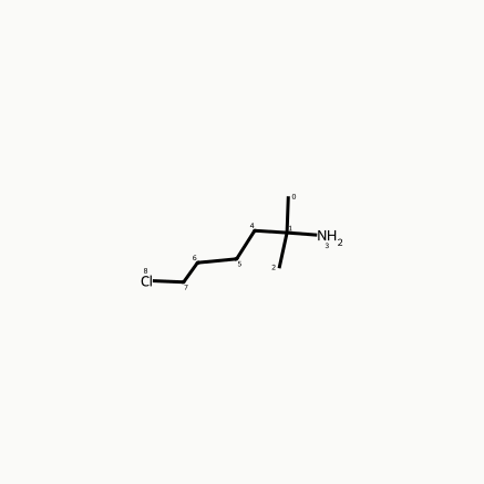 CC(C)(N)CCCCCl